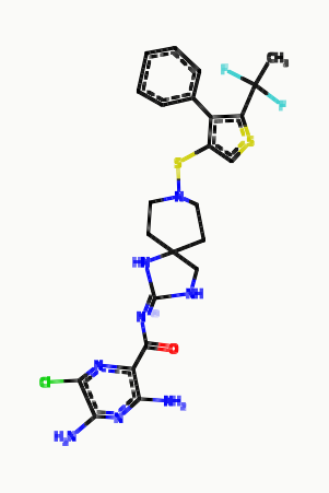 CC(F)(F)c1scc(SN2CCC3(CC2)CN/C(=N\C(=O)c2nc(Cl)c(N)nc2N)N3)c1-c1ccccc1